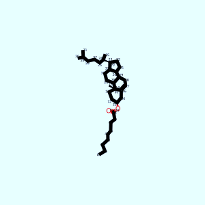 CCCCCCCCC(=O)O[C@H]1CC[C@@]2(C)C(=CCC3C4CC[C@H](C(C)CCCC(C)C)C4CCC32)C1